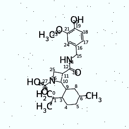 C=C(C)C1CCC(C)CC1C1C(C(=O)NCc2ccc(O)c(OC)c2)CN1C(=O)O